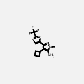 Cn1nc(-c2cnc(C(F)(F)F)s2)c(C2CCC2)c1N